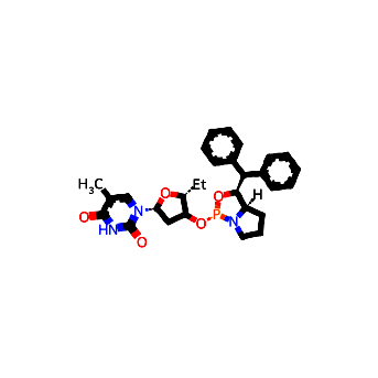 CC[C@H]1O[C@@H](n2cc(C)c(=O)[nH]c2=O)CC1O[P@]1O[C@@H](C(c2ccccc2)c2ccccc2)[C@H]2CCCN21